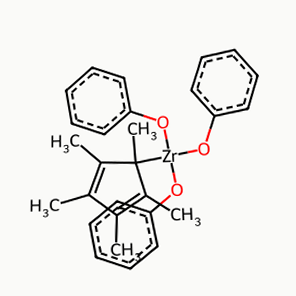 CC1=C(C)[C](C)([Zr]([O]c2ccccc2)([O]c2ccccc2)[O]c2ccccc2)C(C)=C1C